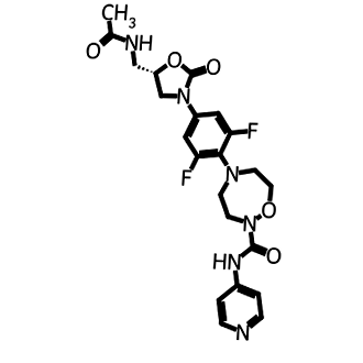 CC(=O)NC[C@H]1CN(c2cc(F)c(N3CCON(C(=O)Nc4ccncc4)CC3)c(F)c2)C(=O)O1